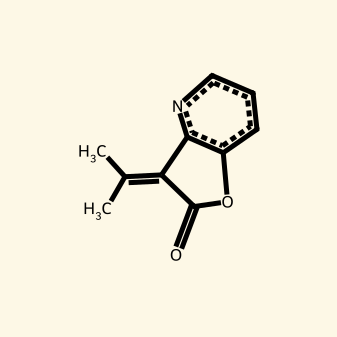 CC(C)=C1C(=O)Oc2cccnc21